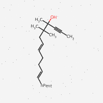 CC#CC(C)(O)C(C)(C)CC=CCCC=CCCCCC